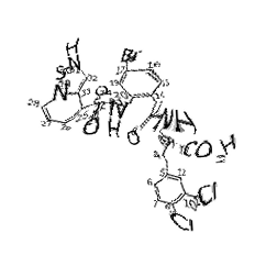 O=C(N[C@@H](Cc1ccc(Cl)c(Cl)c1)C(=O)O)c1ccc(Br)cc1NS(=O)(=O)C1=CC=CN2SNC=C12